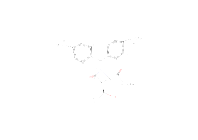 COC(=O)[C@@H]1[C@@H](C(C)O)C(=O)N1C(c1ccc(OC)cc1)c1ccc(OC)cc1